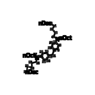 CCCCCCCCCCCCCCN(CCCCCCCC)c1ccc(Cc2ccc(N(CCCCCCCC)CCCCCCCCCCCCCC)cc2)cc1